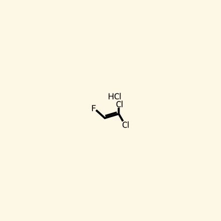 Cl.FC=C(Cl)Cl